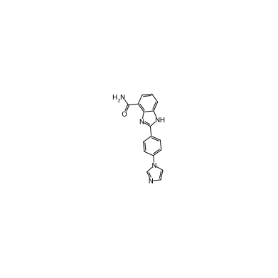 NC(=O)c1cccc2[nH]c(-c3ccc(-n4ccnc4)cc3)nc12